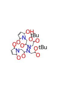 CC(C)(C)OC(=O)CN(C(=O)CN1C(=O)C=CC1=O)N(CC(=O)OC(C)(C)C)C(=O)CN1C(=O)C=CC1O